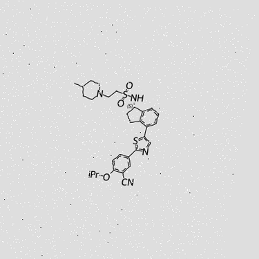 CC1CCN(CCS(=O)(=O)N[C@H]2CCc3c(-c4cnc(-c5ccc(OC(C)C)c(C#N)c5)s4)cccc32)CC1